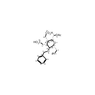 CC(=O)OC[C@@H]1O[C@H](CC(C)C)[C@@H](OCc2ccccc2)[C@H](CC(=O)O)[C@@H]1CC(=O)O